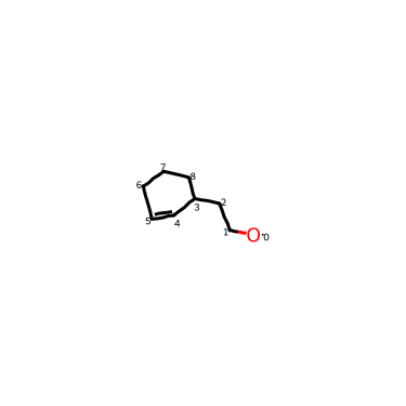 [O]CCC1C=CCCC1